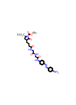 CCOC(=O)[C@@H]1CC(CCCC(=O)NCC(=O)NCC(=O)Nc2ccc(/N=N/c3ccc(N)cc3)cc2)C(=O)N1C(=O)OC(C)(C)C